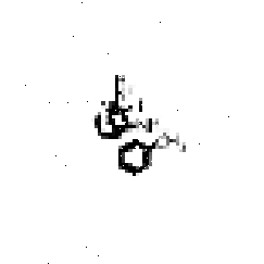 Cc1ccccc1.NC1C2CCN(CC2)[C@@H]1N